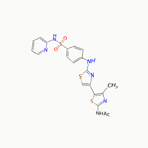 CC(=O)Nc1nc(C)c(-c2csc(Nc3ccc(S(=O)(=O)Nc4ccccn4)cc3)n2)s1